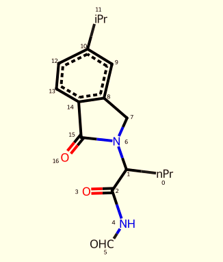 CCCC(C(=O)NC=O)N1Cc2cc(C(C)C)ccc2C1=O